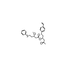 C=Cc1ccc(CCC(CC(C)=O)OC(=O)CC(CCSc2ccccc2)OC)cc1